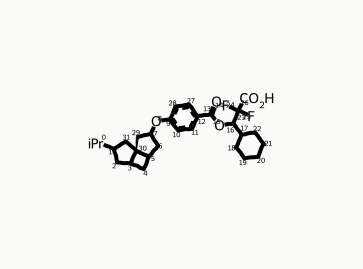 CC(C)C1CC2CC3CC(Oc4ccc(C(=O)OC(C5CCCCC5)C(F)(F)C(=O)O)cc4)C[C@@]32C1